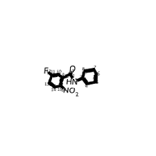 O=C(Nc1ccccc1)c1cc(F)ccc1[N+](=O)[O-]